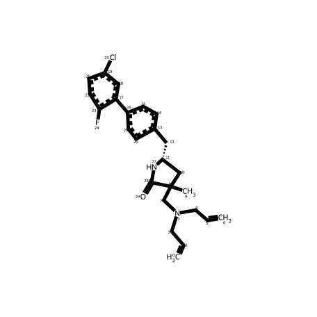 C=CCN(CC=C)CC1(C)C[C@@H](Cc2ccc(-c3cc(Cl)ccc3F)cc2)NC1=O